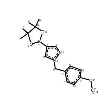 CC1(C)OB(c2cnn(Cc3ccc(OC(F)(F)F)cc3)c2)OC1(C)C